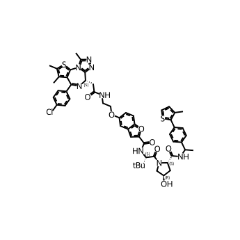 Cc1ccsc1-c1ccc(C(C)NC(=O)[C@@H]2C[C@@H](O)CN2C(=O)[C@@H](NC(=O)c2cc3cc(OCCNC(=O)C[C@@H]4N=C(c5ccc(Cl)cc5)c5c(sc(C)c5C)-n5c(C)nnc54)ccc3o2)C(C)(C)C)cc1